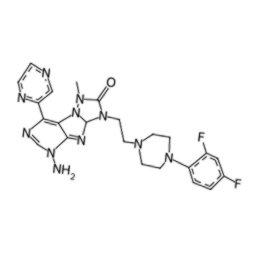 CN1C(=O)N(CCN2CCN(c3ccc(F)cc3F)CC2)C2N=C3C(=C(c4cnccn4)N=CN3N)N21